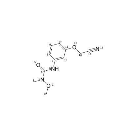 CON(C)C(=O)Nc1cccc(OCC#N)c1